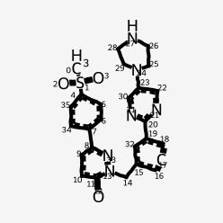 CS(=O)(=O)c1ccc(-c2ccc(=O)n(Cc3cccc(-c4ncc(N5CCNCC5)cn4)c3)n2)cc1